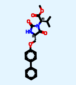 COC(=O)[C@@H](C(C)C)N1C(=O)N[C@@H](COc2ccc(-c3ccccc3)cc2)C1=O